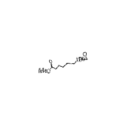 C1CO1.COC(=O)CCCCCC(C)(C)C